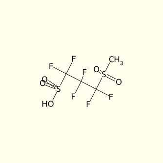 CS(=O)(=O)C(F)(F)C(F)(F)C(F)(F)S(=O)(=O)O